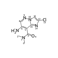 CN(C)C(=O)c1c(N)cnn2cc(Cl)nc12